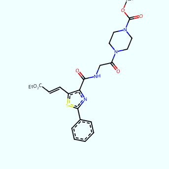 CCCCOC(=O)N1CCN(C(=O)CNC(=O)c2nc(-c3ccccc3)sc2C=CC(=O)OCC)CC1